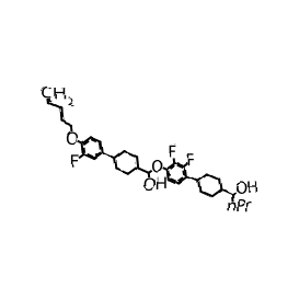 C=CCCCOc1ccc(C2CCC(C(O)Oc3ccc(C4CCC(C(O)CCC)CC4)c(F)c3F)CC2)cc1F